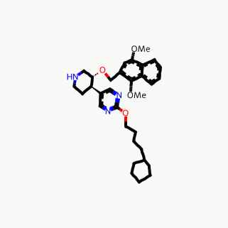 COc1cc(CO[C@H]2CNCC[C@@H]2c2cnc(OCCCCC3CCCCC3)nc2)c(OC)c2ccccc12